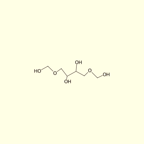 OCOCC(O)C(O)COCO